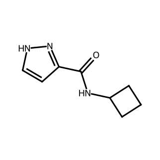 O=C(NC1CCC1)c1cc[nH]n1